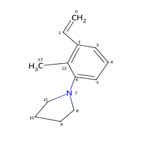 C=Cc1cccc(N2CCCC2)c1C